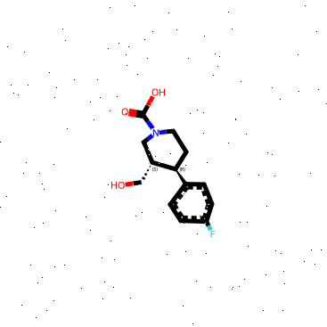 O=C(O)N1CC[C@@H](c2ccc(F)cc2)[C@H](CO)C1